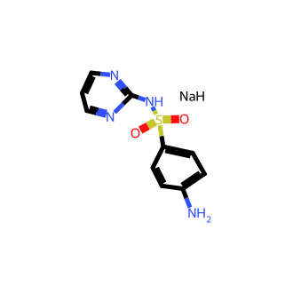 Nc1ccc(S(=O)(=O)Nc2ncccn2)cc1.[NaH]